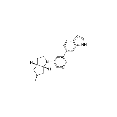 CN1C[C@@H]2CCN(c3cncc(-c4ccc5cc[nH]c5c4)c3)[C@@H]2C1